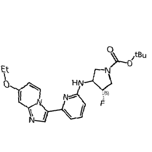 CCOc1ccn2c(-c3cccc(NC4CN(C(=O)OC(C)(C)C)C[C@@H]4F)n3)cnc2c1